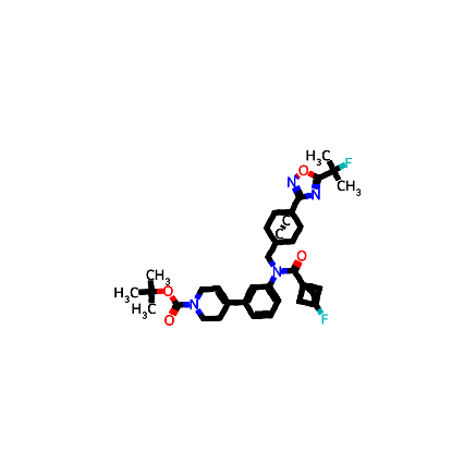 CC(C)(C)OC(=O)N1CC=C(c2cccc(N(CC34CCC(c5noc(C(C)(C)F)n5)(CC3)CC4)C(=O)C34CC(F)(C3)C4)c2)CC1